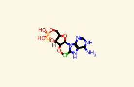 COC1C(N2C3=C(NC2Cl)C(N)NC=N3)OC2CO[PH](O)(O)O[C@H]21